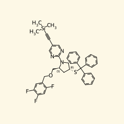 C[Si](C)(C)C#Cc1cnc(N2C[C@H](SC(c3ccccc3)(c3ccccc3)c3ccccc3)C[C@H]2COCc2cc(F)c(F)cc2F)nc1